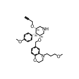 C#CCO[C@@H]1CNC[C@H](OCc2ccc3c(c2)N(CCCOC)CCO3)[C@@H]1c1ccc(OC)cc1